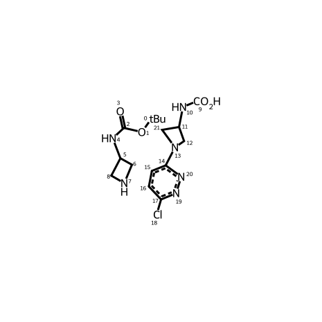 CC(C)(C)OC(=O)NC1CNC1.O=C(O)NC1CN(c2ccc(Cl)nn2)C1